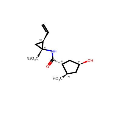 C=C[C@@H]1C[C@]1(NC(=O)[C@@H]1C[C@@H](O)C[C@H]1C(=O)O)C(=O)OCC